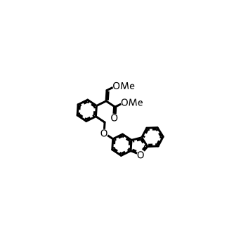 COC=C(C(=O)OC)c1ccccc1COc1ccc2oc3ccccc3c2c1